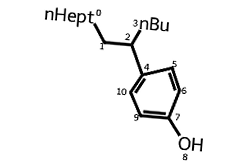 CCCCCCCCC(CCCC)c1ccc(O)cc1